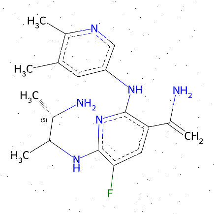 C=C(N)c1cc(F)c(NC(C)[C@H](C)N)nc1Nc1cnc(C)c(C)c1